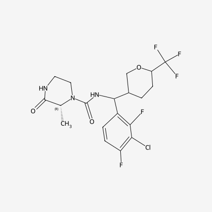 C[C@@H]1C(=O)NCCN1C(=O)NC(c1ccc(F)c(Cl)c1F)C1CCC(C(F)(F)F)OC1